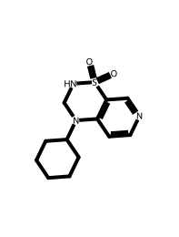 O=S1(=O)NCN(C2CCCCC2)c2ccncc21